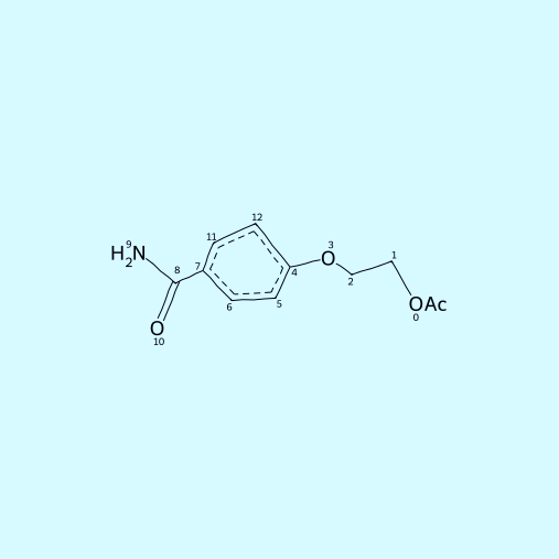 CC(=O)OCCOc1ccc(C(N)=O)cc1